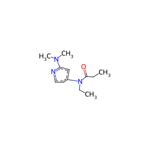 CCC(=O)N(CC)c1ccnc(N(C)C)c1